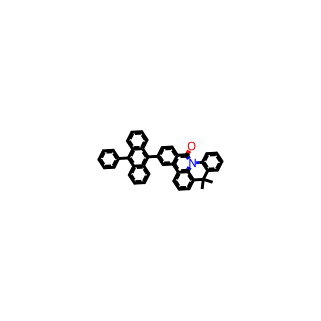 CC1(C)c2ccccc2-n2c(=O)c3ccc(-c4c5ccccc5c(-c5ccccc5)c5ccccc45)cc3c3cccc1c32